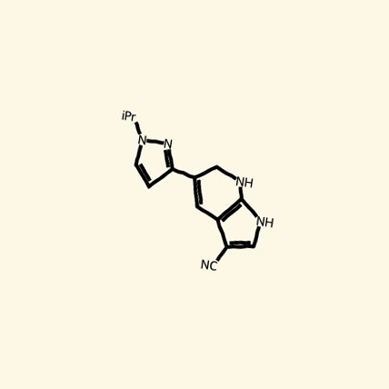 CC(C)n1ccc(C2=Cc3c(C#N)c[nH]c3NC2)n1